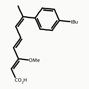 COC(=C\C(=O)O)/C=C/C=C(/C)c1ccc(C(C)(C)C)cc1